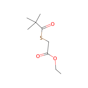 CCOC(=O)CSC(=O)C(C)(C)C